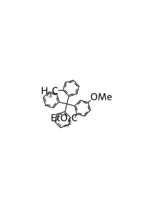 CCOC(=O)c1ccc(OC)cc1C(c1ccccc1)(c1ccccc1)c1ccccc1C